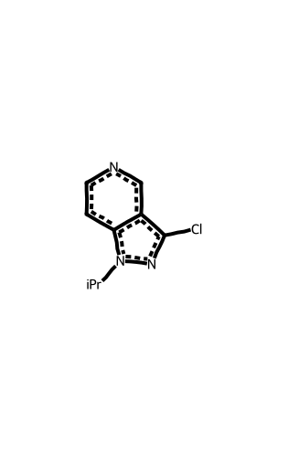 CC(C)n1nc(Cl)c2cnccc21